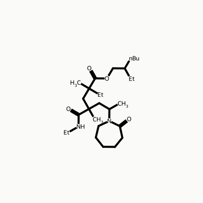 CCCCC(CC)COC(=O)C(C)(CC)CC(C)(CC(C)N1CCCCCC1=O)C(=O)NCC